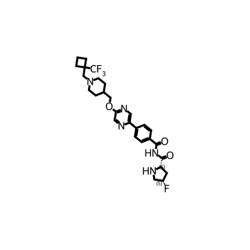 O=C(NC(=O)[C@@H]1C[C@H](F)CN1)c1ccc(-c2cnc(OCC3CCN(CC4(C(F)(F)F)CCC4)CC3)cn2)cc1